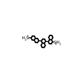 C[SiH2]c1ccc2cc(-c3ccc(-c4ccc([SiH2]C)c5ccccc45)c4ccccc34)ccc2c1